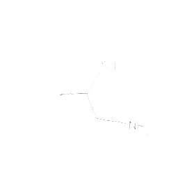 [CH2]CC(S)CN